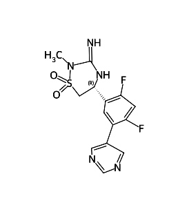 CN1C(=N)N[C@H](c2cc(-c3cncnc3)c(F)cc2F)CS1(=O)=O